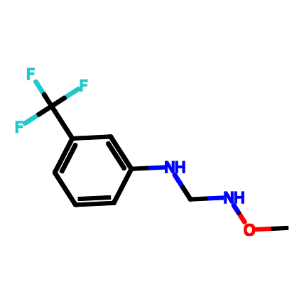 CONCNc1cccc(C(F)(F)F)c1